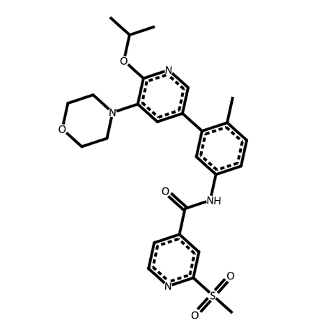 Cc1ccc(NC(=O)c2ccnc(S(C)(=O)=O)c2)cc1-c1cnc(OC(C)C)c(N2CCOCC2)c1